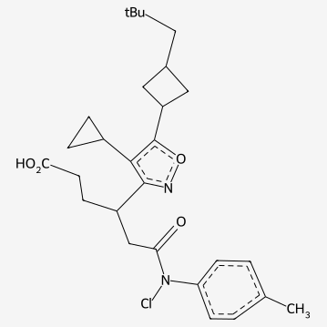 Cc1ccc(N(Cl)C(=O)CC(CCC(=O)O)c2noc(C3CC(CC(C)(C)C)C3)c2C2CC2)cc1